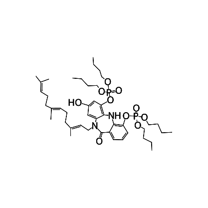 CCCCOP(=O)(OCCCC)Oc1cccc2c1Nc1c(OP(=O)(OCCCC)OCCCC)cc(O)cc1N(C/C=C(\C)CC/C=C(\C)CCC=C(C)C)C2=O